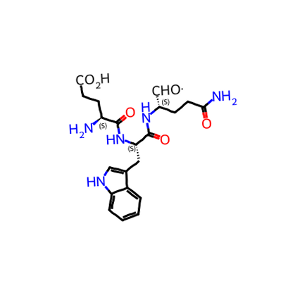 NC(=O)CC[C@@H]([C]=O)NC(=O)[C@H](Cc1c[nH]c2ccccc12)NC(=O)[C@@H](N)CCC(=O)O